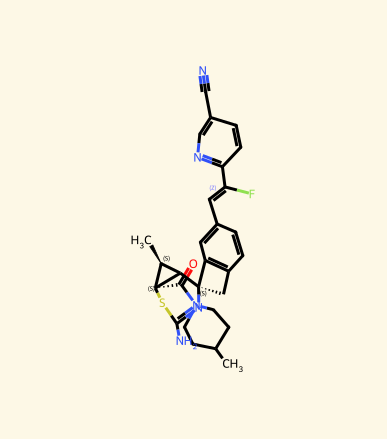 CC1CCN(C(=O)[C@@]23SC(N)=N[C@@]4(Cc5ccc(/C=C(\F)c6ccc(C#N)cn6)cc54)C2[C@@H]3C)CC1